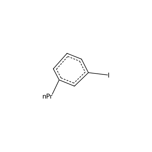 [CH2]CCc1cccc(I)c1